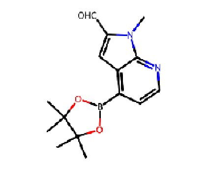 Cn1c(C=O)cc2c(B3OC(C)(C)C(C)(C)O3)ccnc21